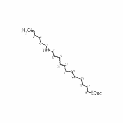 C=CCCCCNCCCCCCCCCCCCCCCCCCCCCC